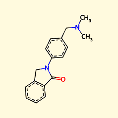 CN(C)Cc1ccc(N2Cc3ccccc3C2=O)cc1